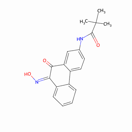 CC(C)(C)C(=O)Nc1ccc2c(c1)C(=O)C(=NO)c1ccccc1-2